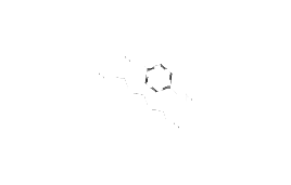 N#CCOCOCC#N.N#Cc1ccc(C#N)cc1